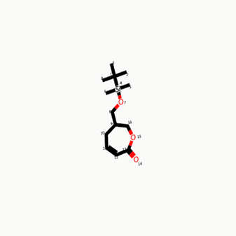 CC(C)(C)[Si](C)(C)OCC1CC=CC(=O)OC1